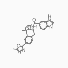 Cc1nnc(-c2ccc3c(c2)[C@]2(C)CCN(C(=O)c4ccc5nc[nH]c5c4)[C@H](C3)[C@H]2C)o1